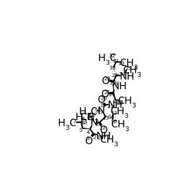 CNC(=O)[C@@H](CC(C)C)N(C)C(=O)[C@@H](C(C)C)N(C)C(=O)N[C@H](C)C(=O)NC(=O)[C@H](CC(C)C)NC